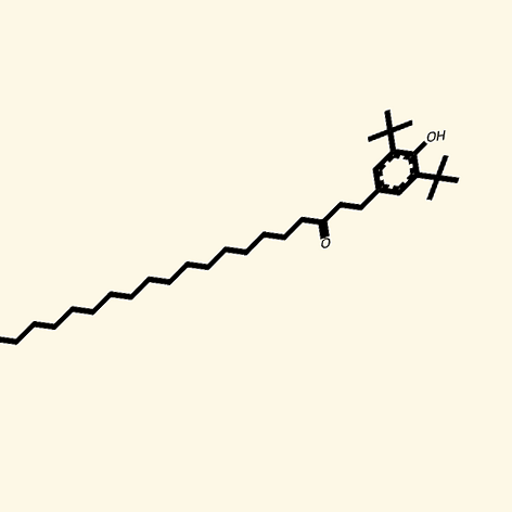 CCCCCCCCCCCCCCCCCCC(=O)CCc1cc(C(C)(C)C)c(O)c(C(C)(C)C)c1